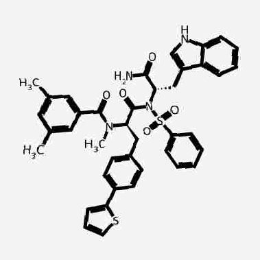 Cc1cc(C)cc(C(=O)N(C)[C@H](Cc2ccc(-c3cccs3)cc2)C(=O)N([C@@H](Cc2c[nH]c3ccccc23)C(N)=O)S(=O)(=O)c2ccccc2)c1